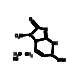 CSN1C=Cn2c(nc(=O)n2[N+](=O)[O-])N1.O.O.[Na]